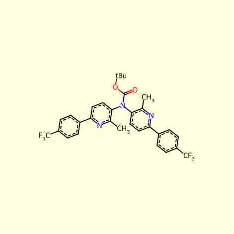 Cc1nc(-c2ccc(C(F)(F)F)cc2)ccc1N(C(=O)OC(C)(C)C)c1ccc(-c2ccc(C(F)(F)F)cc2)nc1C